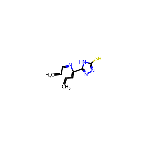 C=C/C=N\C(=C/C=C)c1nnc(S)[nH]1